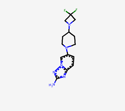 Nc1nc2ccc(N3CCC(N4CC(F)(F)C4)CC3)cn2n1